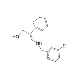 OC/C(=C/NCc1cccc(Cl)c1)C1=CC=CCC1